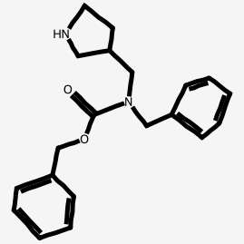 O=C(OCc1ccccc1)N(Cc1ccccc1)CC1CCNC1